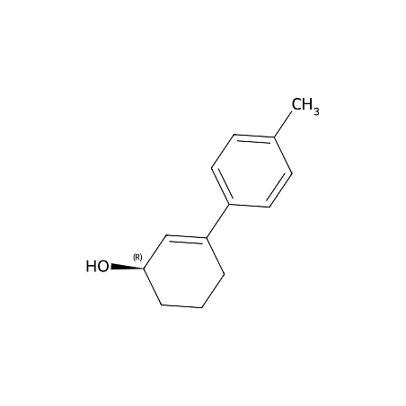 Cc1ccc(C2=C[C@H](O)CCC2)cc1